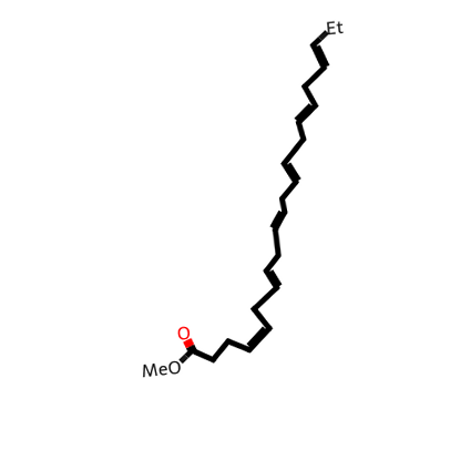 CCC=CCC=CCC=CCC=CCC=CC/C=C\CCC(=O)OC